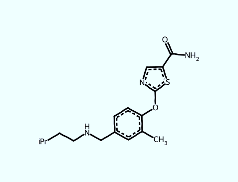 Cc1cc(CNCCC(C)C)ccc1Oc1ncc(C(N)=O)s1